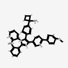 COc1ccc(-c2ccc(-c3nc4n(c3-c3ccc(C5(N)CCC5)cc3)-c3cccnc3Nc3ccccc3-4)cn2)cc1